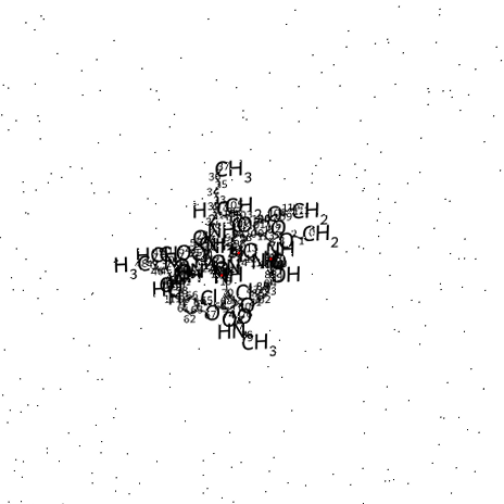 C=CCOC(=O)[C@H]1NC(=O)[C@H]2NC(=O)[C@H](NC(=O)[C@@H]3NC(=O)[C@H](CC(=O)NC(=O)NCCCCCCCC)NC(=O)[C@H](NC(=O)[C@@H](CC(C)C)N(C)C(=O)OCC=C)[C@H](O)c4ccc(c(Cl)c4)Oc4cc3cc(c4OC(=O)NCC)Oc3ccc(cc3Cl)[C@H]2O)c2ccc(OCC=C)c(c2)-c2c(OCC=C)cc(OCC=C)cc21